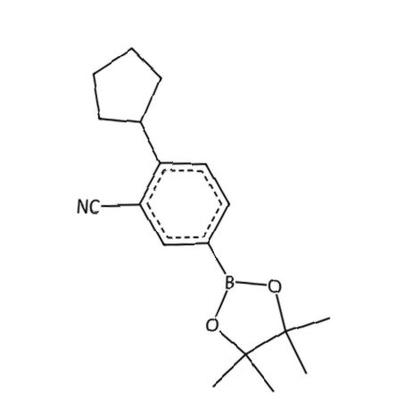 CC1(C)OB(c2ccc(C3CCCC3)c(C#N)c2)OC1(C)C